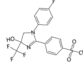 CS(=O)(=O)c1ccc(C2=NC(O)(C(F)(F)F)CN2c2ccc(F)cc2)cc1